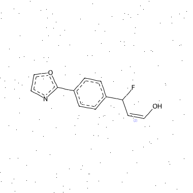 O/C=C\C(F)c1ccc(-c2ncco2)cc1